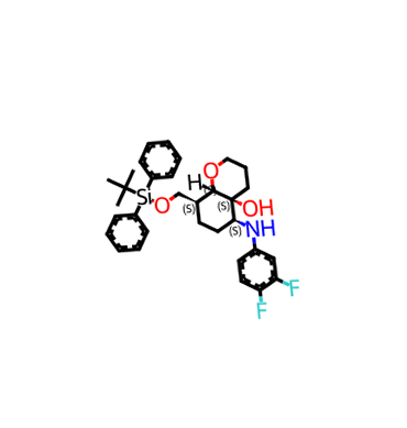 CC(C)(C)[Si](OC[C@@H]1CC[C@H](Nc2ccc(F)c(F)c2)[C@@]2(O)CCCO[C@@H]12)(c1ccccc1)c1ccccc1